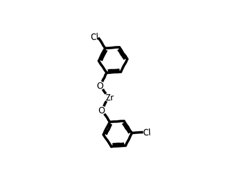 Clc1cccc([O][Zr][O]c2cccc(Cl)c2)c1